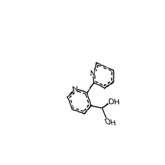 OC(O)c1cccnc1-c1ccccn1